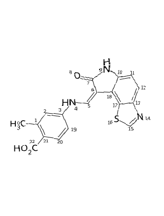 Cc1cc(NC=C2C(=O)Nc3ccc4ncsc4c32)ccc1C(=O)O